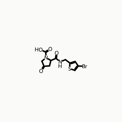 O=C1CC(C(=O)NCc2cc(Br)cs2)N(C(=O)O)C1